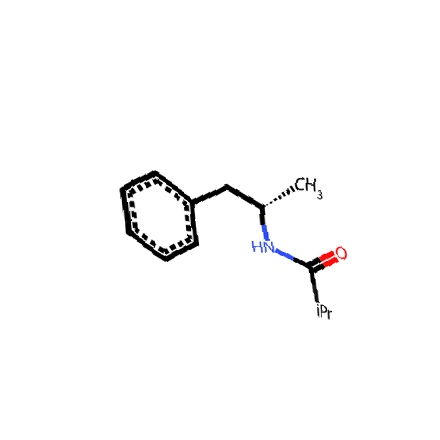 CC(C)C(=O)N[C@@H](C)Cc1ccccc1